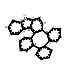 c1ccc2c(c1)-c1ccccc1-c1ccc3oc4ccccc4c3c1-c1ccccc1-2